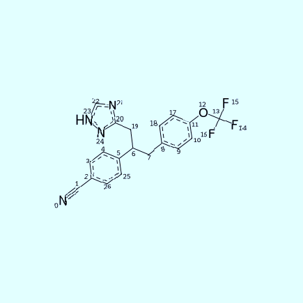 N#Cc1ccc(C(Cc2ccc(OC(F)(F)F)cc2)Cc2nc[nH]n2)cc1